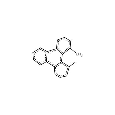 Bc1cccc2c3ccccc3c3cccc(C)c3c12